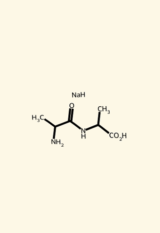 CC(N)C(=O)NC(C)C(=O)O.[NaH]